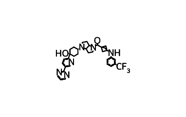 O=C(N1CCC2C1CCN2[C@H]1CC[C@](O)(c2ccc(-c3ncccn3)cn2)CC1)C12CC(Nc3cccc(C(F)(F)F)c3)(C1)C2